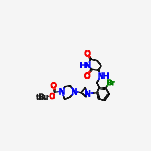 CC(C)(C)OC(=O)N1CCN(C2CN(c3cccc(Br)c3CNC3CCC(=O)NC3=O)C2)CC1